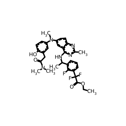 CCOC(=O)C(F)(F)c1cccc(C(C)Nc2nc(C)nc3ccc(N(C)c4ccc(O)c(CC(=O)N(C)C)c4)cc23)c1F